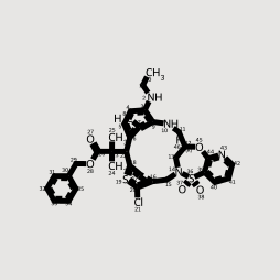 CCNc1ccc2c(C)c1NC[C@@H]1CN(Cc3cc(sc3Cl)C2C(C)(C)C(=O)OCc2ccccc2)S(=O)(=O)c2cccnc2O1